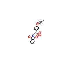 CC(C)(C)[Si](C)(C)Oc1ccc(C(CN2C(=O)c3ccccc3C2=O)C(=O)O)cc1